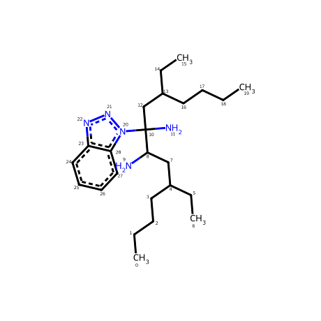 CCCCC(CC)CC(N)C(N)(CC(CC)CCCC)n1nnc2ccccc21